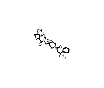 Cc1cnc2c(=O)n(CC3(O)CCN(C(=O)C[C@@H](C)c4ccccc4)CC3)cnn12